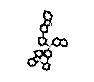 c1cc(-c2ccc3c(c2)oc2ccccc23)cc(N(c2ccc(-c3ccccc3-n3c4ccccc4c4ccccc43)cc2)c2ccc3ccccc3c2)c1